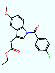 CCOC(=O)Cc1cn(C(=O)c2ccc(Cl)cc2)c2ccc(OC)cc12